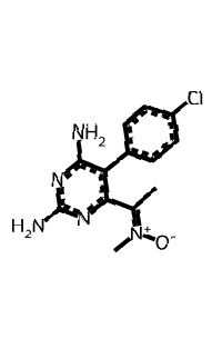 CC(c1nc(N)nc(N)c1-c1ccc(Cl)cc1)=[N+](C)[O-]